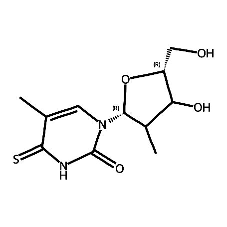 Cc1cn([C@@H]2O[C@H](CO)C(O)C2C)c(=O)[nH]c1=S